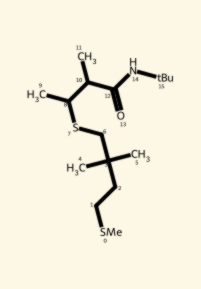 CSCCC(C)(C)CSC(C)C(C)C(=O)NC(C)(C)C